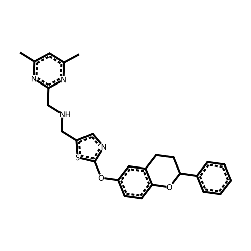 Cc1cc(C)nc(CNCc2cnc(Oc3ccc4c(c3)CCC(c3ccccc3)O4)s2)n1